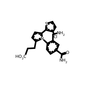 NCc1cc(C(N)=O)ccc1-n1c(CCC(=O)O)ccc1-c1sccc1Cl